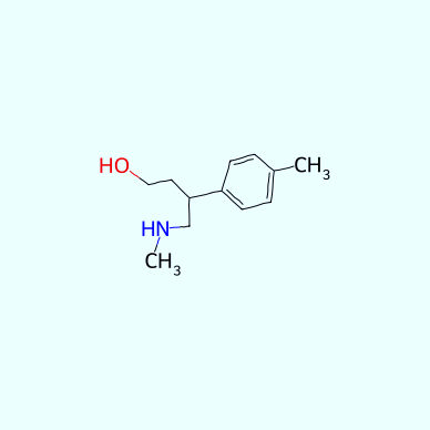 CNCC(CCO)c1ccc(C)cc1